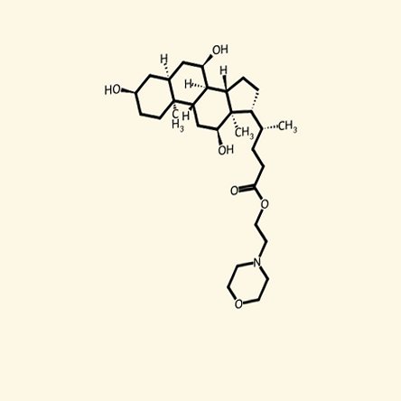 C[C@H](CCC(=O)OCCN1CCOCC1)[C@H]1CC[C@H]2[C@@H]3[C@H](O)C[C@@H]4C[C@H](O)CC[C@]4(C)[C@H]3C[C@H](O)[C@]12C